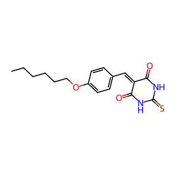 CCCCCCOc1ccc(C=C2C(=O)NC(=S)NC2=O)cc1